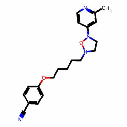 Cc1cc(N2CCN(CCCCCOc3ccc(C#N)cc3)O2)ccn1